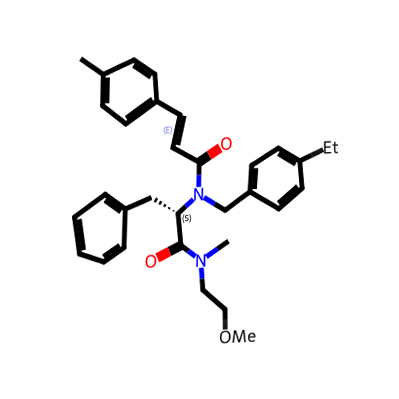 CCc1ccc(CN(C(=O)/C=C/c2ccc(C)cc2)[C@@H](Cc2ccccc2)C(=O)N(C)CCOC)cc1